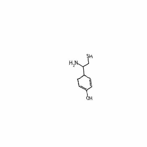 NC(CS)C1C=CC(O)=CC1